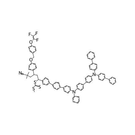 CSC(=S)SC(CC(CC(C)(C)C#N)c1ccc(OCc2ccc(OC(F)=C(F)F)cc2)cc1)c1ccc(-c2ccc(-c3ccc(N(c4ccccc4)c4ccc(-c5ccc(N(c6ccc(-c7ccccc7)cc6)c6ccc(-c7ccccc7)cc6)cc5)cc4)cc3)cc2)cc1